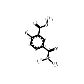 COC(=O)c1cc(C(=O)N(C)C)ccc1F